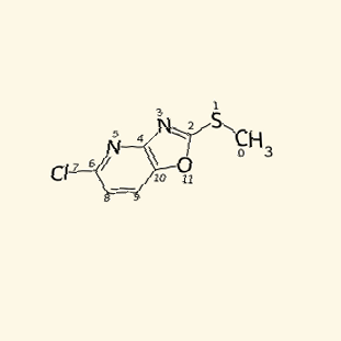 CSc1nc2nc(Cl)ccc2o1